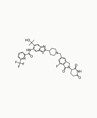 CC(C)(O)c1cc2nc(C3CCN(Cc4cc(F)c5c(c4)CN(C4CCC(=O)NC4=O)C5=O)CC3)sc2cc1NC(=O)c1cccc(C(F)(F)F)n1